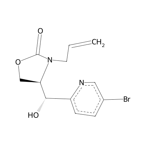 C=CCN1C(=O)OC[C@@H]1[C@@H](O)c1ccc(Br)cn1